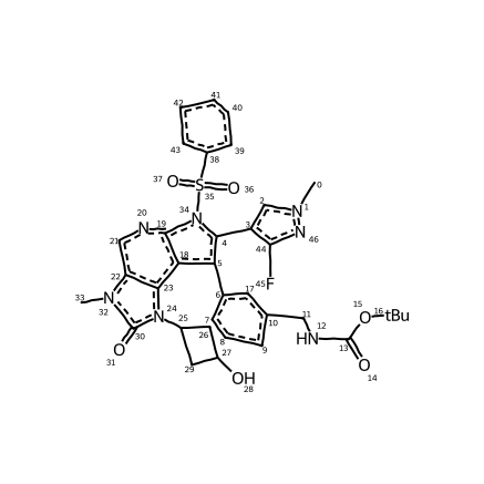 Cn1cc(-c2c(-c3cccc(CNC(=O)OC(C)(C)C)c3)c3c(ncc4c3n(C3CC(O)C3)c(=O)n4C)n2S(=O)(=O)c2ccccc2)c(F)n1